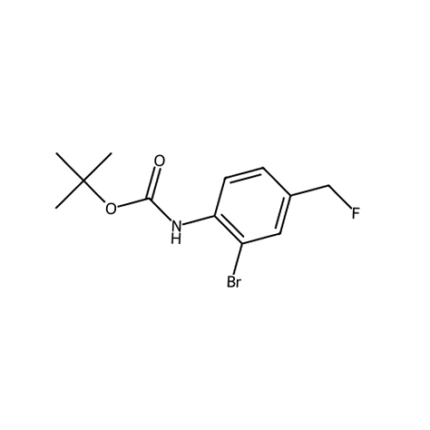 CC(C)(C)OC(=O)Nc1ccc(CF)cc1Br